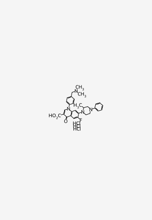 CC1CN(c2ccccc2)CCN1c1cc2c(cc1F)c(=O)c(C(=O)O)cn2-c1ccc(CN(C)C)cc1.Cl.Cl.Cl